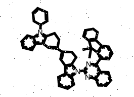 CC1(C)C2=C(CCC=C2)c2cccc(-c3nc(-n4c5c(c6ccccc64)C=C(C4=Cc6c(n(C7C=CC=CC7)c7ccccc67)CC4)CC5)nc4ccccc34)c21